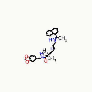 C[C@@H](NC/C=C/C#CC(C)(C)C(=O)NCc1ccc2c(c1)OCO2)c1cccc2ccccc12